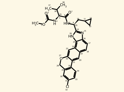 COC(=O)N[C@H](C(=O)N[C@@H](CC1CC1)c1nc2ccc3cc4c(cc3c2[nH]1)OCc1cc(Cl)ccc1-4)C(C)C